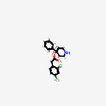 O=C(Cc1ccc(Cl)cc1Cl)OC1(c2ccccc2)CCNCC1